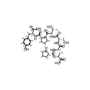 C[C@@H](O)[C@H](NC(=O)[C@H](CO)NC(=O)[C@H](CCC(=O)O)NC(=O)[C@@H]1CCCN1)C(=O)N1CCC[C@H]1C(=O)N[C@@H](Cc1ccc(O)cc1)C(=O)O